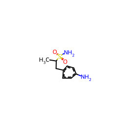 CC(Cc1ccc(N)cc1)S(N)(=O)=O